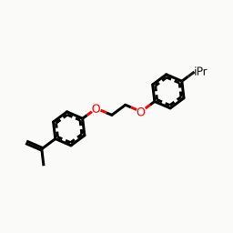 C=C(C)c1ccc(OCCOc2ccc(C(C)C)cc2)cc1